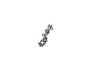 CC(F)(F)C(=O)OCC(F)(F)C(F)(F)COC(=O)C12CC3CC(C1)C1(OCCC(F)(F)C(F)(F)CO1)C(C3)C2